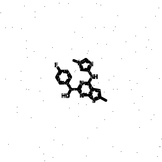 Cc1cc2c(Nc3cn(C)cn3)nc(C(O)c3ccc(F)cc3)nc2s1